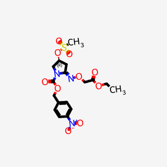 CCOC(=O)CON=C1C[C@@H](OS(C)(=O)=O)CN1C(=O)OCc1ccc([N+](=O)[O-])cc1